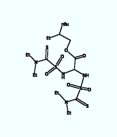 CCCCC(CC)COC(=O)C(NS(=O)(=O)C(=S)N(CC)CC)NS(=O)(=O)C(=S)N(CC)CC